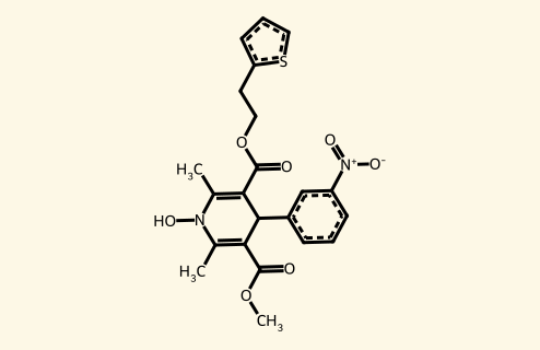 COC(=O)C1=C(C)N(O)C(C)=C(C(=O)OCCc2cccs2)C1c1cccc([N+](=O)[O-])c1